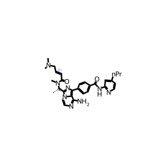 CCCc1ccnc(NC(=O)c2ccc(-c3nc([C@H](C)N(C)C(=O)/C=C/CN(C)C)n4ccnc(N)c34)cc2)c1